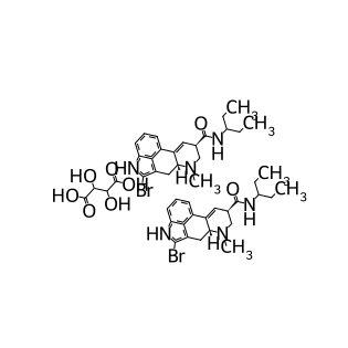 CCC(CC)NC(=O)[C@@H]1C=C2c3cccc4[nH]c(Br)c(c34)C[C@H]2N(C)C1.CCC(CC)NC(=O)[C@@H]1C=C2c3cccc4[nH]c(Br)c(c34)C[C@H]2N(C)C1.O=C(O)C(O)C(O)C(=O)O